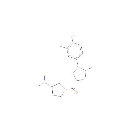 CN(C(=O)O)C1CCN(C(=O)[C@@H]2CN(c3ccc(C#N)c(C(F)(F)F)c3)[C@@H](C(F)(F)F)O2)C1